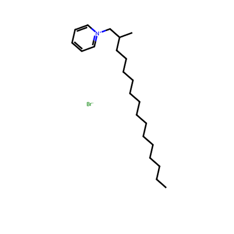 CCCCCCCCCCCCCCC(C)C[n+]1ccccc1.[Br-]